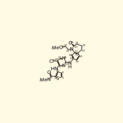 CNC(=O)c1sccc1Nc1nc(Nc2ccc3c(c2)N(CCOC)C(=O)CCC3)ncc1Cl